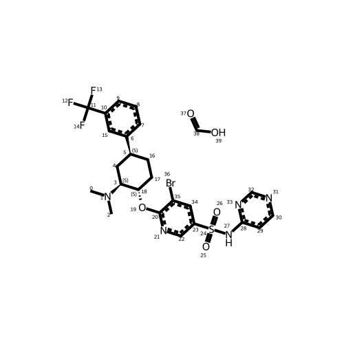 CN(C)[C@H]1C[C@@H](c2cccc(C(F)(F)F)c2)CC[C@@H]1Oc1ncc(S(=O)(=O)Nc2ccncn2)cc1Br.O=CO